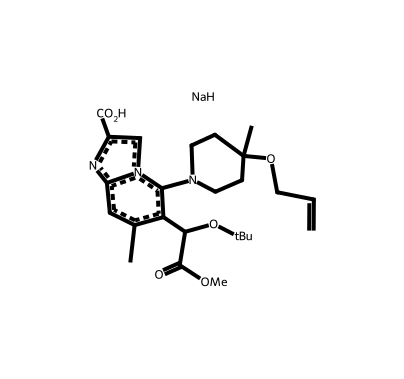 C=CCOC1(C)CCN(c2c(C(OC(C)(C)C)C(=O)OC)c(C)cc3nc(C(=O)O)cn23)CC1.[NaH]